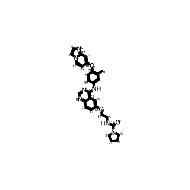 Cc1cc(Nc2ncnc3ccc(OCCNC(=O)N4CCCC4)cc23)ccc1Oc1ccn2ccnc2c1